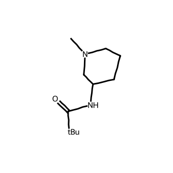 CN1CCCC(NC(=O)C(C)(C)C)C1